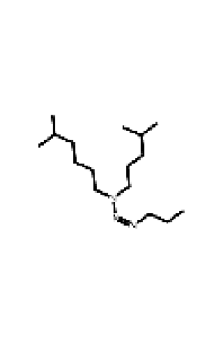 CCC/N=N\N(CCCCC(C)C)CCCC(C)C